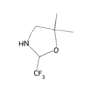 CC1(C)CNC(C(F)(F)F)O1